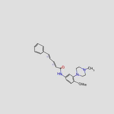 COc1ccc(NC(=O)/C=C/C=C/c2ccccc2)cc1N1CCN(C)CC1